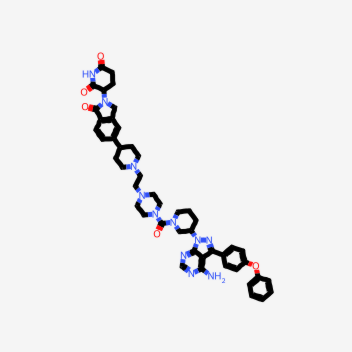 Nc1ncnc2c1c(-c1ccc(Oc3ccccc3)cc1)nn2C1CCCN(C(=O)N2CCN(CCN3CCC(c4ccc5c(c4)CN(C4CCC(=O)NC4=O)C5=O)CC3)CC2)C1